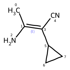 C/C(N)=C(\C#N)C1CC1